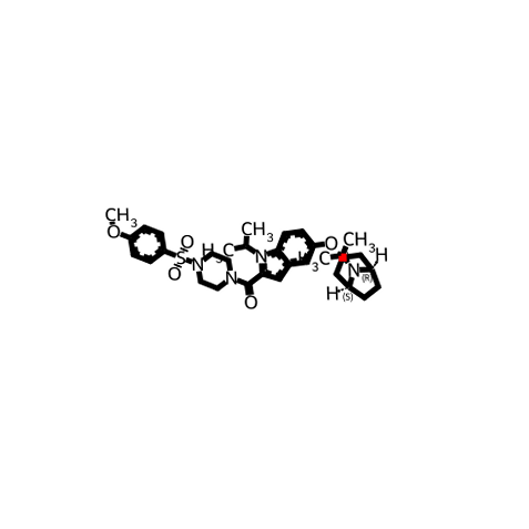 COc1ccc(S(=O)(=O)N2CCN(C(=O)c3cc4cc(O[C@@H]5C[C@H]6CC[C@@H](C5)N6C(C)C)ccc4n3C(C)C)CC2)cc1